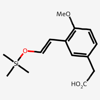 COc1ccc(CC(=O)O)cc1C=CO[Si](C)(C)C